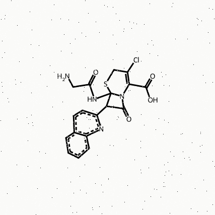 NCC(=O)NC12SCC(Cl)=C(C(=O)O)N1C(=O)C2c1ccc2ccccc2n1